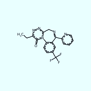 CCc1nnc2n(c1=O)-c1ccc(C(F)(F)F)cc1C(c1ccccn1)=NC2